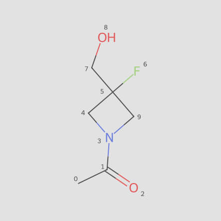 CC(=O)N1CC(F)(CO)C1